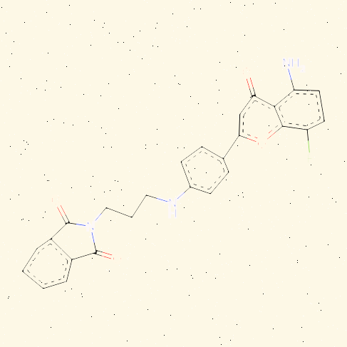 Nc1ccc(F)c2oc(-c3ccc(NCCCN4C(=O)c5ccccc5C4=O)cc3)cc(=O)c12